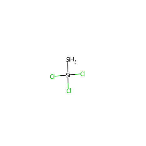 [SiH3][Si](Cl)(Cl)Cl